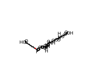 O=C(O)CCCCCCCCCCCc1cc(Oc2ccc(S(=O)(=O)Nc3ncc(C(=O)NCCOCCOCC(=O)NCCOCCOCC(=O)O)cn3)cc2)ccc1F